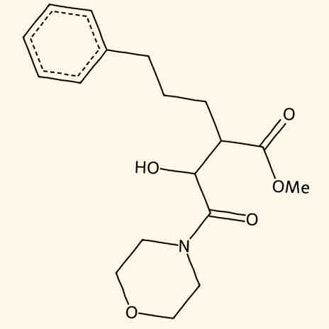 COC(=O)C(CCCc1ccccc1)C(O)C(=O)N1CCOCC1